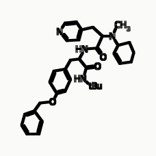 CN(C1C=CCCC1)C(Cc1ccncc1)C(=O)NC(Cc1ccc(OCc2ccccc2)cc1)C(=O)NC(C)(C)C